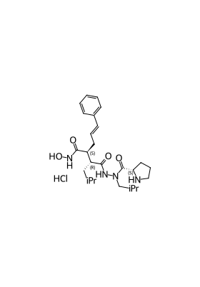 CC(C)C[C@@H](C(=O)NN(CC(C)C)C(=O)[C@@H]1CCCN1)[C@H](CC=Cc1ccccc1)C(=O)NO.Cl